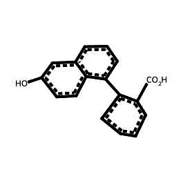 O=C(O)c1ccccc1-c1cccc2cc(O)ccc12